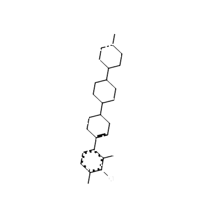 Cc1ccc(C2=CCC(C3CCC(C4CCC(C)CC4)CC3)CC2)c(F)c1Cl